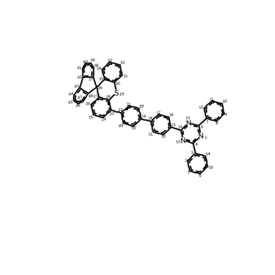 c1ccc(-c2nc(-c3ccccc3)nc(-c3ccc(-c4ccc(-c5cccc6c5Sc5ccccc5C65c6ccccc6-c6ccccc65)cc4)cc3)n2)cc1